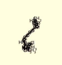 C=C1CCC(N2C(=O)c3cccc(OCCOCCOCCOCCOc4ccc(NC(=O)C[C@@H]5N=C(c6ccc(Cl)cc6)c6c(sc(C)c6C)-n6c(C)nnc65)cc4)c3C2=O)C(=O)N1